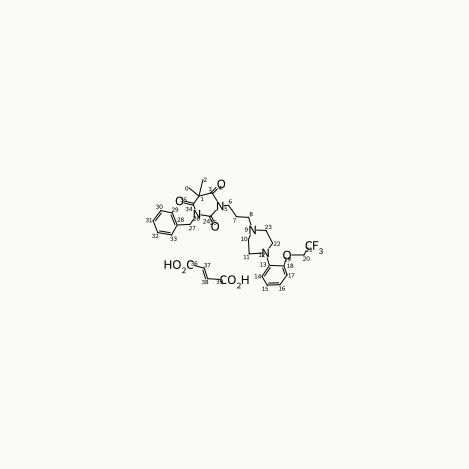 CC1(C)C(=O)N(CCCN2CCN(c3ccccc3OCC(F)(F)F)CC2)C(=O)N(Cc2ccccc2)C1=O.O=C(O)C=CC(=O)O